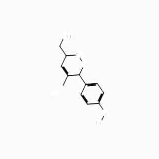 CCOc1ccc(C2ONC(CO)C=C2C)cc1.Cl